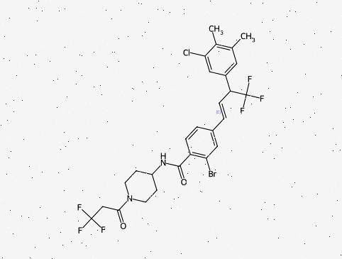 Cc1cc(C(/C=C/c2ccc(C(=O)NC3CCN(C(=O)CC(F)(F)F)CC3)c(Br)c2)C(F)(F)F)cc(Cl)c1C